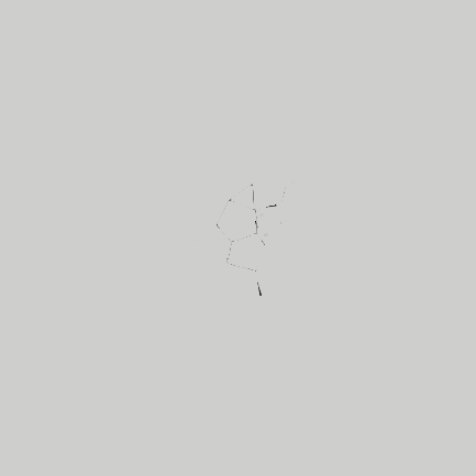 C[C@H]1C[C@@]2(OC(C)(C)C)CC3C[C@]3(OC(C)(C)C)[C@H]2O1